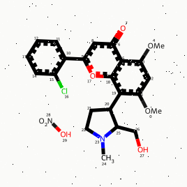 COc1cc(OC)c2c(=O)cc(-c3ccccc3Cl)oc2c1C1CCN(C)C1CO.O=[N+]([O-])O